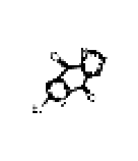 CCc1cc2c(s1)C(=O)c1cccnc1C2=O